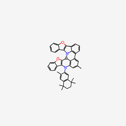 Cc1cc2c3c(c1)N(c1cc4c(cc1C)C(C)(C)CCC4(C)C)c1c(oc4ccccc14)B3n1c3c-2cccc3c2oc3ccccc3c21